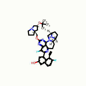 C#Cc1c(F)ccc2cc(O)cc(-c3nc4c5c(nc(OC[C@@]67CCCN6C[C@H](OC(C(F)(F)F)(C(F)(F)F)C(F)(F)F)C7)nc5c3F)N3C[C@H]5CC[C@H](N5)[C@H]3CC4)c12